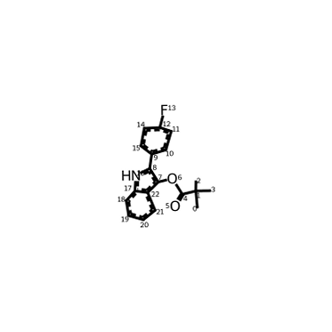 CC(C)(C)C(=O)Oc1c(-c2ccc(F)cc2)[nH]c2ccccc12